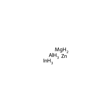 [AlH3].[InH3].[MgH2].[Zn]